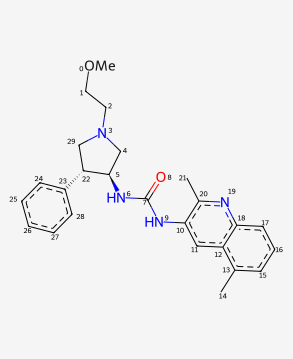 COCCN1C[C@@H](NC(=O)Nc2cc3c(C)cccc3nc2C)[C@H](c2ccccc2)C1